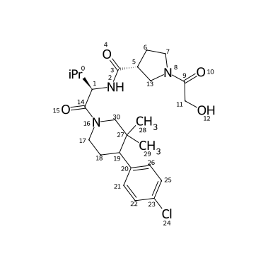 CC(C)[C@@H](NC(=O)[C@@H]1CCN(C(=O)CO)C1)C(=O)N1CCC(c2ccc(Cl)cc2)C(C)(C)C1